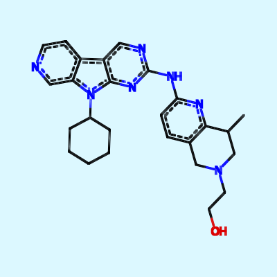 CC1CN(CCO)Cc2ccc(Nc3ncc4c5ccncc5n(C5CCCCC5)c4n3)nc21